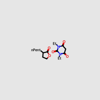 CCCCCC1CCOC1=O.CCN1C(=O)CC(=O)N(CC)C1=O